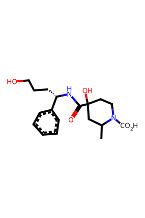 CC1CC(O)(C(=O)N[C@@H](CCCO)c2ccccc2)CCN1C(=O)O